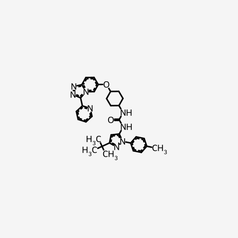 Cc1ccc(-n2nc(C(C)(C)C)cc2NC(=O)NC2CCC(Oc3ccc4nnc(-c5ccccn5)n4c3)CC2)cc1